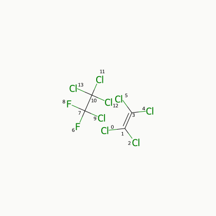 ClC(Cl)=C(Cl)Cl.FC(F)(Cl)C(Cl)(Cl)Cl